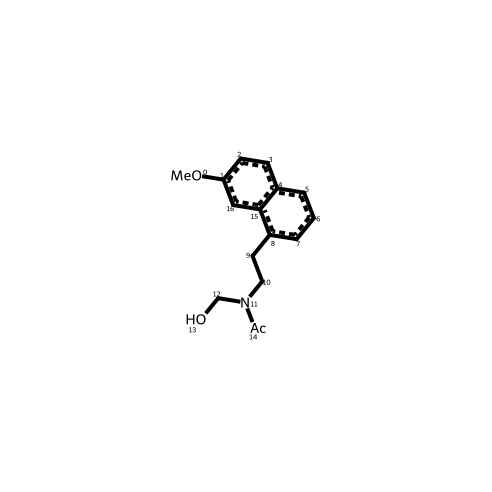 COc1ccc2cccc(CCN(CO)C(C)=O)c2c1